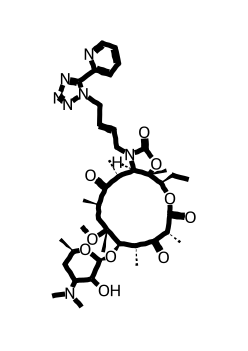 CC[C@H]1OC(=O)[C@H](C)C(=O)[C@H](C)[C@@H](O[C@@H]2O[C@H](C)CC(N(C)C)C2O)[C@](C)(OC)C[C@@H](C)C(=O)[C@H](C)[C@H]2N(C/C=C/Cn3nnnc3-c3ccccn3)C(=O)O[C@]12C